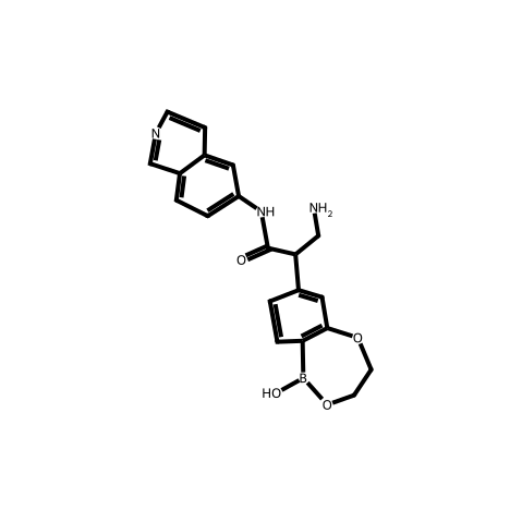 NCC(C(=O)Nc1ccc2cnccc2c1)c1ccc2c(c1)OCCOB2O